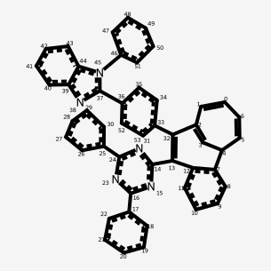 C1=CC2=CC(C=C1)c1ccccc1C(c1nc(-c3ccccc3)nc(-c3ccccc3)n1)=C2c1ccc(-c2nc3ccccc3n2-c2ccccc2)cc1